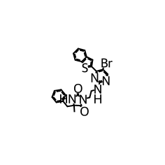 CC1(Cc2ccccc2)NC(=O)N(CCNc2ncc(Br)c(-c3cc4ccccc4s3)n2)C1=O